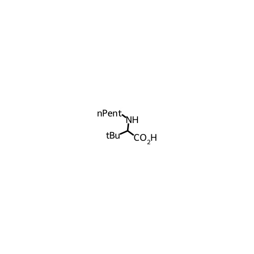 CCCCCNC(C(=O)O)C(C)(C)C